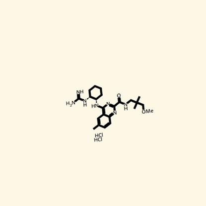 COCC(C)(C)CNC(=O)c1nc(N[C@H]2CCCC[C@H]2NC(=N)N)c2cc(C)ccc2n1.Cl.Cl